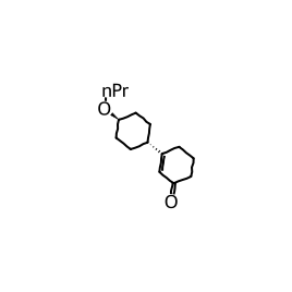 CCCO[C@H]1CC[C@H](C2=CC(=O)CCC2)CC1